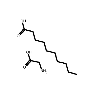 CCCCCCCCCC(=O)O.NCC(=O)O